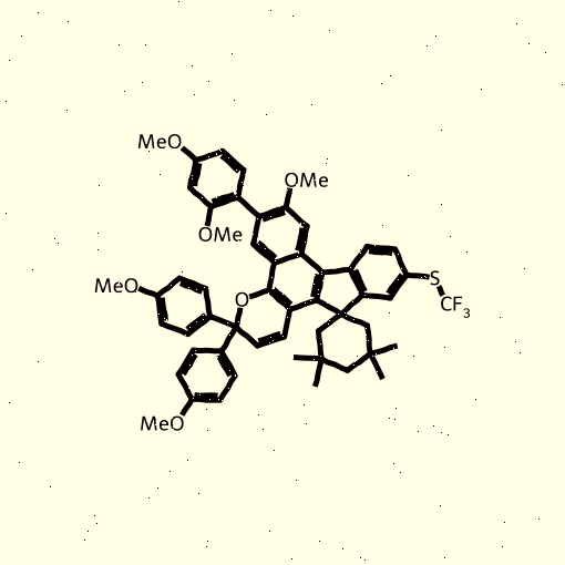 COc1ccc(C2(c3ccc(OC)cc3)C=Cc3c4c(c5cc(OC)c(-c6ccc(OC)cc6OC)cc5c3O2)-c2ccc(SC(F)(F)F)cc2C42CC(C)(C)CC(C)(C)C2)cc1